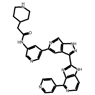 O=C(CC1CCNCC1)Nc1cncc(-c2cc3c(-c4nc5c(-c6ccncc6)nccc5[nH]4)n[nH]c3cn2)c1